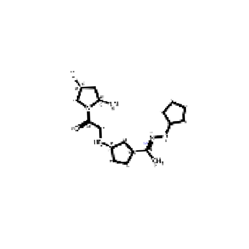 C/C(=N\OC1CCCC1)[C@H]1CC[C@@H](NCC(=O)N2C[C@@H](F)C[C@H]2C#N)C1